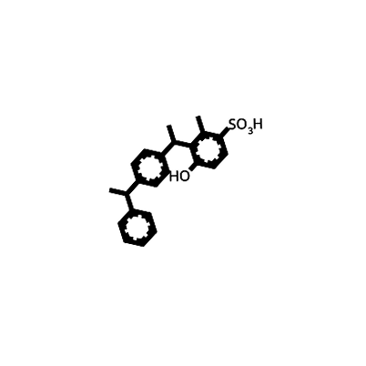 Cc1c(S(=O)(=O)O)ccc(O)c1C(C)c1ccc(C(C)c2ccccc2)cc1